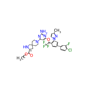 CCOC(=O)[C@@H]1CC2(CCN(c3cc(O[C@H](c4ccc(-c5ccc(Cl)c(F)c5)cc4-n4ccc(C)n4)C(F)(F)F)nc(N)n3)CC2)CN1